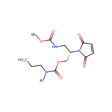 CC(C)N(CCC(=O)O)C(=O)OC[C@H](CNC(=O)OC(C)(C)C)N1C(=O)C=CC1=O